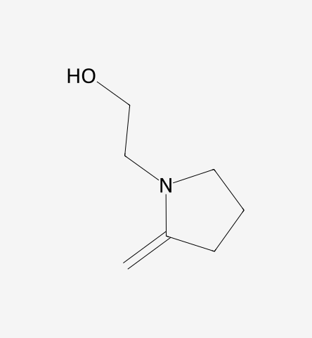 C=C1CCCN1CCO